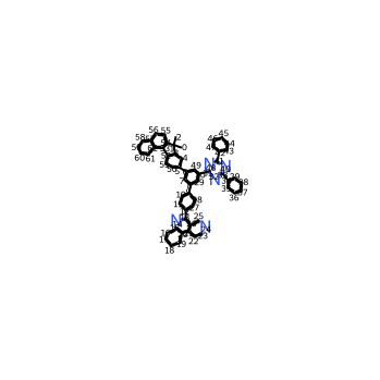 CC1(C)c2cc(-c3cc(-c4ccc(-c5nc6ccccc6c6ccncc56)cc4)cc(-c4nc(-c5ccccc5)nc(-c5ccccc5)n4)c3)ccc2-c2c1ccc1ccccc21